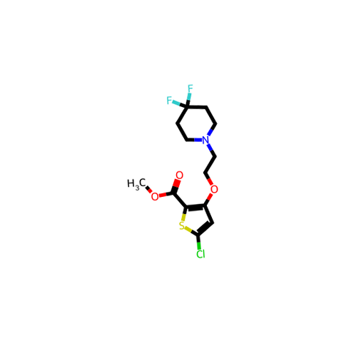 COC(=O)c1sc(Cl)cc1OCCN1CCC(F)(F)CC1